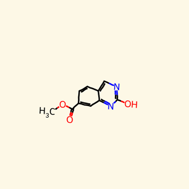 COC(=O)c1ccc2cnc(O)nc2c1